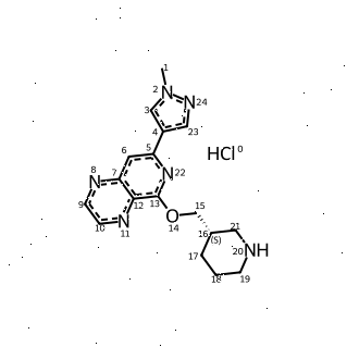 Cl.Cn1cc(-c2cc3nccnc3c(OC[C@H]3CCCNC3)n2)cn1